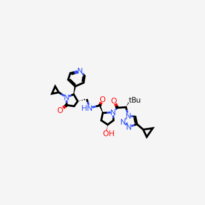 CC(C)(C)[C@@H](C(=O)N1C[C@H](O)C[C@H]1C(=O)NC[C@@H]1CC(=O)N(C2CC2)[C@H]1c1ccncc1)n1cc(C2CC2)nn1